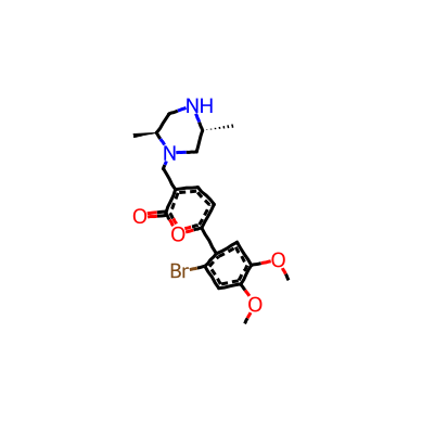 COc1cc(Br)c(-c2ccc(CN3C[C@@H](C)NC[C@@H]3C)c(=O)o2)cc1OC